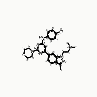 Cc1nn(CCN(C)C)c2cc(-c3cc(Nc4ccc(Cl)cc4)nc(N4CCOCC4)n3)ccc12